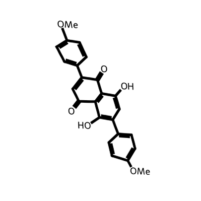 COc1ccc(C2=CC(=O)c3c(O)c(-c4ccc(OC)cc4)cc(O)c3C2=O)cc1